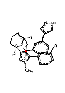 Cn1nc2c(c1-c1cccc(Cl)c1)C[C@@H]1CCC[C@H]2N1C(=O)c1cccc(-c2cn[nH]c2)c1